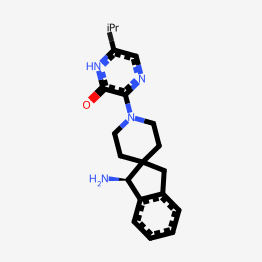 CC(C)c1cnc(N2CCC3(CC2)Cc2ccccc2[C@H]3N)c(=O)[nH]1